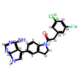 Cn1cc(-c2ccc3c(c2)CCN3C(=O)Cc2cc(F)cc(Cl)c2)c2c(N)ncnc21